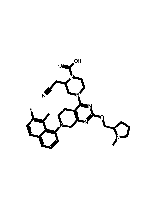 Cc1c(F)ccc2cccc(N3CCc4c(nc(OCC5CCCN5C)nc4N4CCN(C(=O)O)C(CC#N)C4)C3)c12